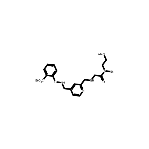 CCOC(=O)c1ccccc1ONCc1ccnc(CNCC(=O)N(CC)CCNC)c1